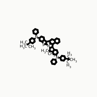 CC(C)(C)c1ccc(N(c2ccccc2)c2ccc3c(c2)C(C)(C)c2c-3c3c4ccccc4cc4c5c6ccc(N(c7ccccc7)c7ccc(C(C)(C)C)cc7)cc6sc5n2c43)cc1